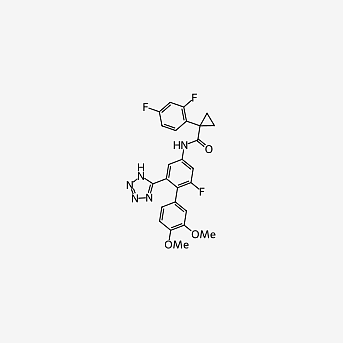 COc1ccc(-c2c(F)cc(NC(=O)C3(c4ccc(F)cc4F)CC3)cc2-c2nnn[nH]2)cc1OC